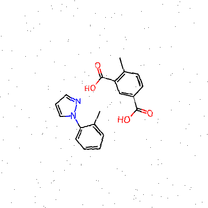 Cc1ccc(C(=O)O)cc1C(=O)O.Cc1ccccc1-n1cccn1